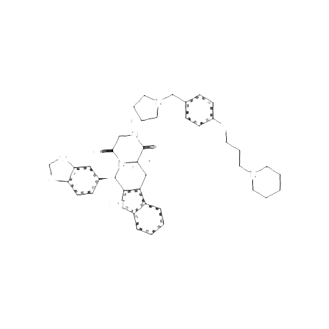 O=C1[C@H]2Cc3c([nH]c4ccccc34)[C@@H](c3ccc4c(c3)OCO4)N2C(=O)CN1[C@@H]1CCN(Cc2ccc(OCCCN3CCCCC3)cc2)C1